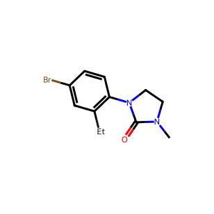 CCc1cc(Br)ccc1N1CCN(C)C1=O